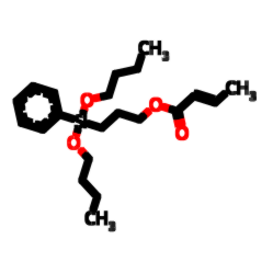 CC=CC(=O)OCCC[Si](OCCCC)(OCCCC)c1ccccc1